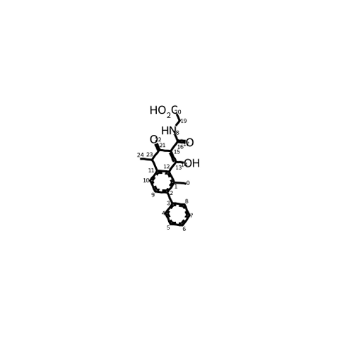 Cc1c(-c2ccccc2)ccc2c1C(O)=C(C(=O)NCC(=O)O)C(=O)C2C